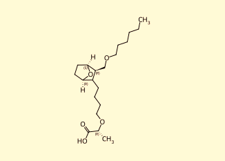 CCCCCCOC[C@H]1C(CCCCO[C@H](C)C(=O)O)[C@H]2CC[C@@H]1O2